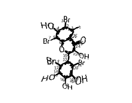 Cc1c(Br)c(O)c(Br)c2oc(-c3c(Br)c(O)c(O)c(O)c3Br)c(O)c(=O)c12